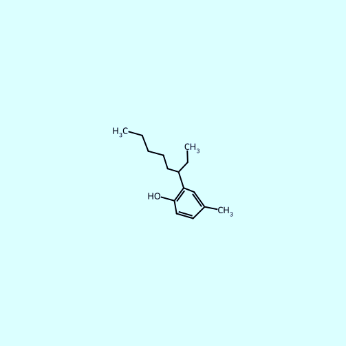 CCCCCC(CC)c1cc(C)ccc1O